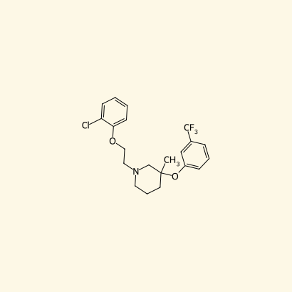 CC1(Oc2cccc(C(F)(F)F)c2)CCCN(CCOc2ccccc2Cl)C1